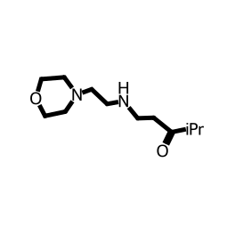 CC(C)C(=O)CCNCCN1CCOCC1